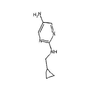 Nc1cnc(NCC2CC2)nc1